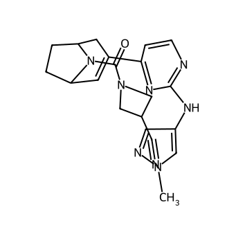 Cn1cc(Nc2nccc(C3=CC4CCC(C3)N4C(=O)N3CC(C#N)C3)n2)cn1